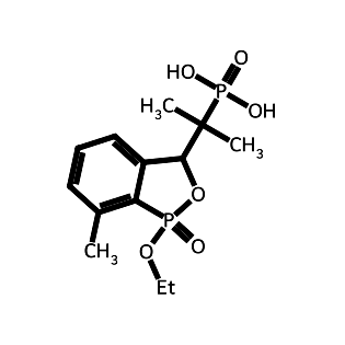 CCOP1(=O)OC(C(C)(C)P(=O)(O)O)c2cccc(C)c21